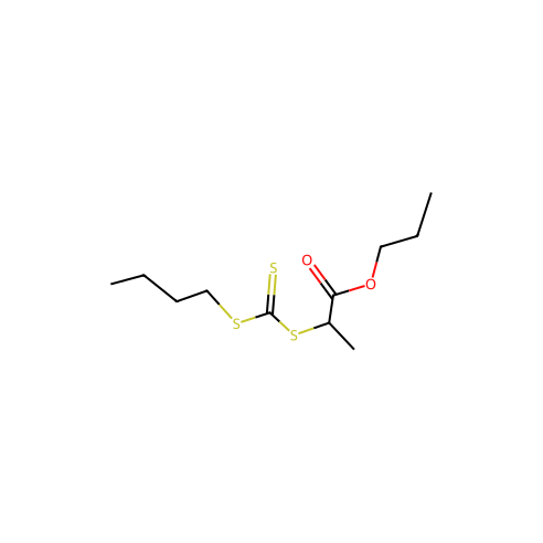 CCCCSC(=S)SC(C)C(=O)OCCC